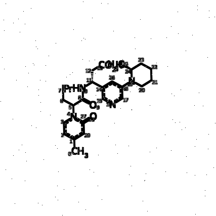 Cc1ccn(C(CC(C)C)C(=O)N[C@H](CC(=O)O)c2cncc(N3CCCC[C@@H]3C)c2)c(=O)c1